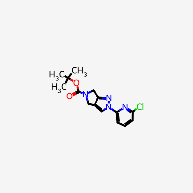 CC(C)(C)OC(=O)N1Cc2cn(-c3cccc(Cl)n3)nc2C1